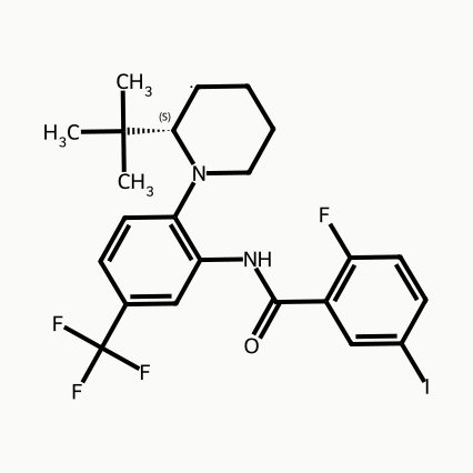 CC(C)(C)[C@@H]1[CH]CCCN1c1ccc(C(F)(F)F)cc1NC(=O)c1cc(I)ccc1F